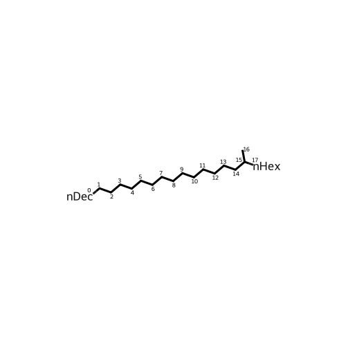 CCCCCCCCCCCCCCCCCCCCCCCCC(C)CCCCCC